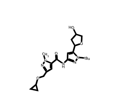 Cn1nc(COC2CC2)cc1C(=O)Nc1cc(C2CC(O)CO2)n(C(C)(C)C)n1